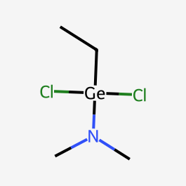 C[CH2][Ge]([Cl])([Cl])[N](C)C